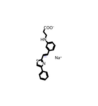 O=C([O-])CCNc1cccc(/C=C/c2nc(-c3ccccc3)cs2)c1.[Na+]